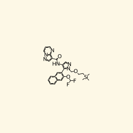 C[Si](C)(C)CCOCn1ncc(NC(=O)c2cnn3cccnc23)c1-c1cc2ccccc2cc1OC(F)F